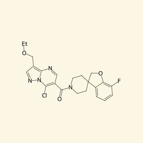 CCOCc1cnn2c(Cl)c(C(=O)N3CCC4(CC3)COc3c(F)cccc34)cnc12